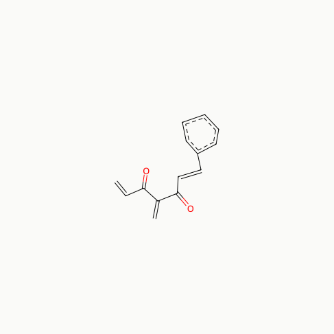 C=CC(=O)C(=C)C(=O)C=Cc1ccccc1